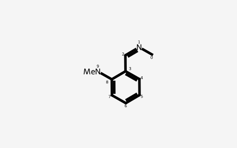 C/N=C\c1ccccc1NC